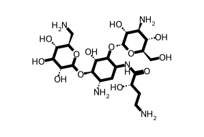 NCC[C@H](O)C(=O)NC1C[C@H](N)[C@@H](OC2O[C@H](CN)[C@@H](O)C(O)[C@H]2O)[C@H](O)C1O[C@H]1O[C@H](CO)[C@@H](O)[C@H](N)[C@H]1O